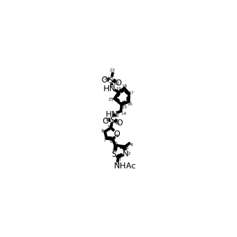 CC(=O)Nc1nc(C)c(C2=CCC(S(=O)(=O)NCc3cccc(NS(C)(=O)=O)c3)O2)s1